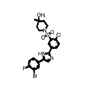 CC1(O)CCN(S(=O)(=O)c2cc(-c3ncc(-c4ccc(F)c(Br)c4)[nH]3)ccc2Cl)CC1